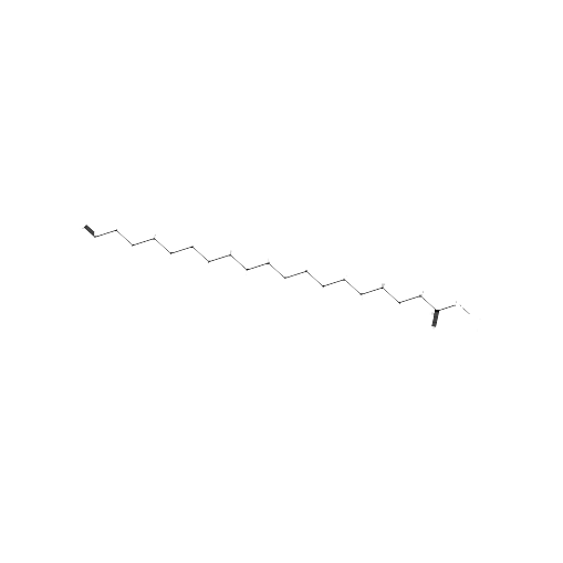 O=CCCCCCCCCCCCCCCCCCC(=O)NO